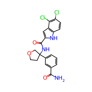 NC(=O)c1cccc(C2(NC(=O)c3cc4c(Cl)c(Cl)ccc4[nH]3)CCOC2)c1